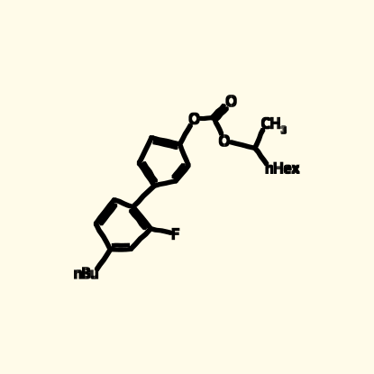 CCCCCCC(C)OC(=O)Oc1ccc(-c2ccc(CCCC)cc2F)cc1